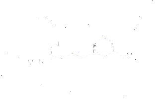 CN[C@H](C)C/C=C/c1cncc(OC)c1